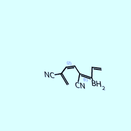 B/C(C=C)=C(C#N)/C=C\C(=C)C#N